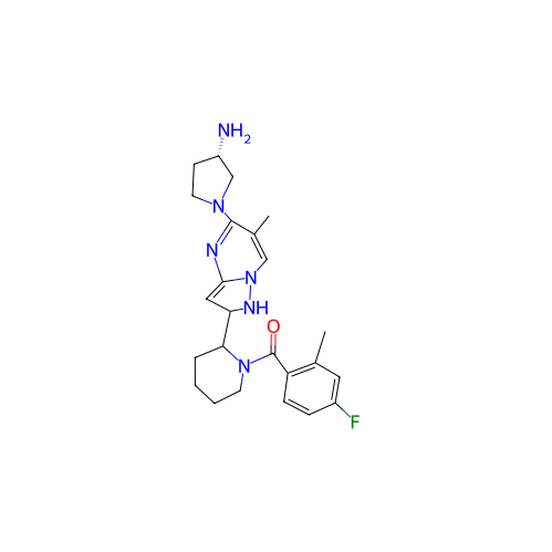 CC1=CN2NC(C3CCCCN3C(=O)c3ccc(F)cc3C)C=C2N=C1N1CC[C@H](N)C1